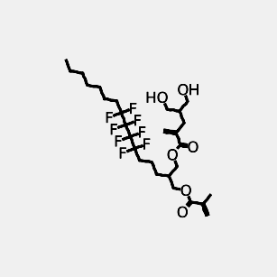 C=C(C)C(=O)OCC(CCCC(F)(F)C(F)(F)C(F)(F)C(F)(F)CCCCCCC)COC(=O)C(=C)CC(CO)CO